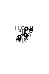 COc1cn(Cc2ccc(F)c(Cl)c2)c(Oc2cc(-c3ncco3)ccc2C)cc1=O